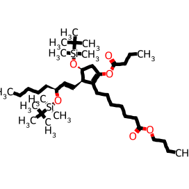 CCCCC[C@@H](/C=C/[C@@H]1C(CCCCCCC(=O)OCCCC)=C(OC(=O)CCC)C[C@H]1O[Si](C)(C)C(C)(C)C)O[Si](C)(C)C(C)(C)C